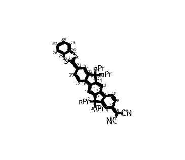 CCCC1(CCC)c2cc(=C(C#N)C#N)ccc2=c2cc3c(cc21)=c1ccc(=C2Sc4ccccc4S2)cc1C3(CCC)CCC